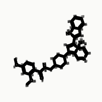 COc1ccc(C(=O)NCC2CCC(C3=C4C=NC=C[N+]4(N)C(c4cc5ccccc5[nH]4)=N3)CC2)c(OC)c1